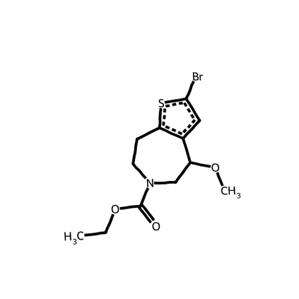 CCOC(=O)N1CCc2sc(Br)cc2C(OC)C1